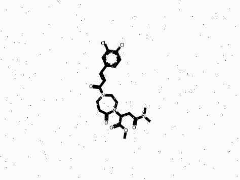 COC(=O)C(CC(=O)N(C)C)N1CCN(C(=O)/C=C/c2ccc(Cl)c(Cl)c2)CCC1=O